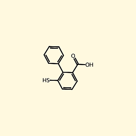 O=C(O)c1cccc(S)c1-c1ccccc1